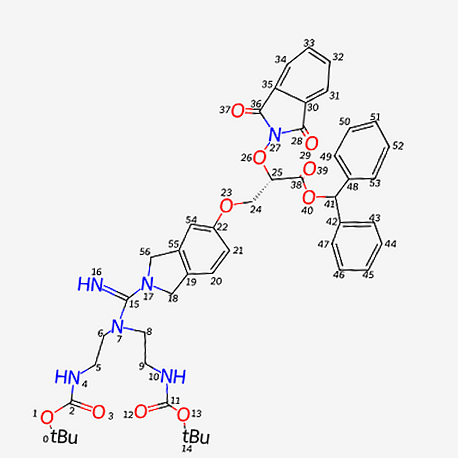 CC(C)(C)OC(=O)NCCN(CCNC(=O)OC(C)(C)C)C(=N)N1Cc2ccc(OC[C@H](ON3C(=O)c4ccccc4C3=O)C(=O)OC(c3ccccc3)c3ccccc3)cc2C1